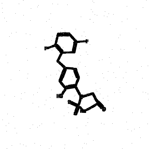 O=C1CN(c2ccc(Cc3cc(F)ccc3F)cc2O)S(=O)(=O)N1